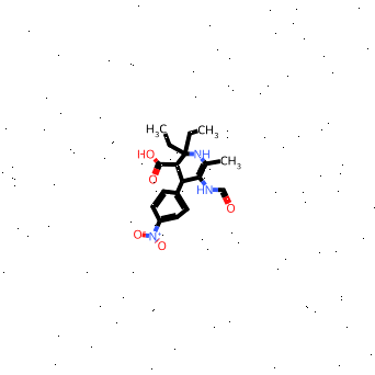 CCC1(CC)NC(C)=C(NC=O)C(c2ccc([N+](=O)[O-])cc2)C1C(=O)O